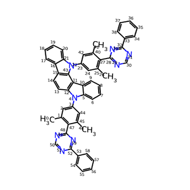 Cc1cc(-n2c3ccccc3c3c2ccc2c4ccccc4n(-c4cc(C)c(-c5ncnc(-c6ccccc6)n5)c(C)c4)c23)cc(C)c1-c1ncnc(-c2ccccc2)n1